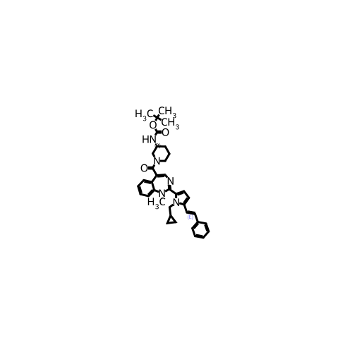 CN1C(c2ccc(/C=C/c3ccccc3)n2CC2CC2)=NC=C(C(=O)N2CCC[C@@H](NC(=O)OC(C)(C)C)C2)c2ccccc21